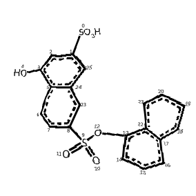 O=S(=O)(O)c1cc(O)c2ccc(S(=O)(=O)Oc3cccc4ccccc34)cc2c1